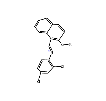 CCOc1ccc2ccccc2c1/C=N/c1ccc(Cl)cc1Cl